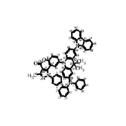 Cc1nn(-c2ccccc2)c2c1c(=O)oc1ccc(N3c4ccc(N(c5ccccc5)c5ccccc5)cc4C(C)(C)c4cc(-n5c6ccccc6c6ccccc65)ccc43)cc12